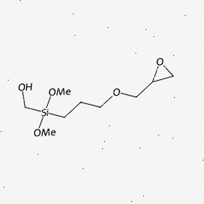 CO[Si](CO)(CCCOCC1CO1)OC